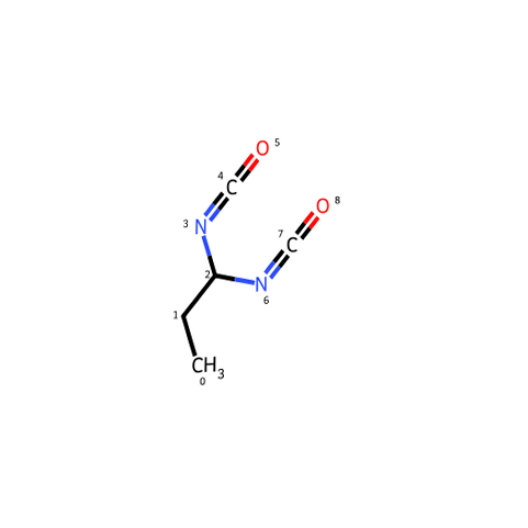 CCC(N=C=O)N=C=O